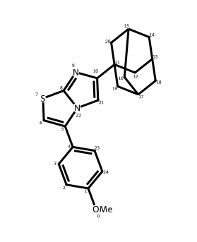 COc1ccc(-c2csc3nc(C45CC6CC(CC(C6)C4)C5)cn23)cc1